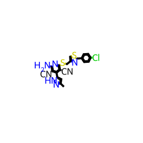 [C-]#[N+]c1c(N)nc(SCc2csc(-c3ccc(Cl)cc3)n2)c(C#N)c1-c1cc(C)n[nH]1